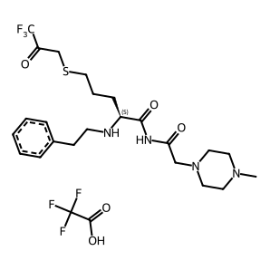 CN1CCN(CC(=O)NC(=O)[C@H](CCCSCC(=O)C(F)(F)F)NCCc2ccccc2)CC1.O=C(O)C(F)(F)F